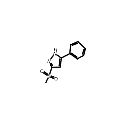 CS(=O)(=O)c1cc(-c2ccccc2)[nH]n1